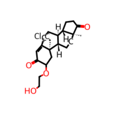 C[C@]12CC[C@H]3[C@@H](CCC4=CC(=O)C(OCCO)C[C@@]43CC(Cl)(Cl)Cl)[C@@H]1CCC2=O